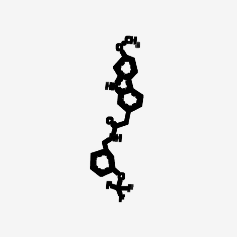 COc1ccc2c(c1)[nH]c1cc(CC(=O)NCc3cccc(OC(F)(F)F)c3)ccc12